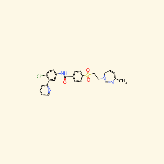 CC1=C=CCN(CCS(=O)(=O)c2ccc(C(=O)Nc3ccc(Cl)c(-c4ccccn4)c3)cc2)C=N1